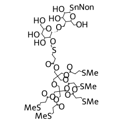 CCCCCCCCCS[C@@H]1OC(CO)[C@@H](COC[C@H]2OC(CO)[C@@H](O)C(O)C2OCSCCC(=O)OCC(COCC(COC(=O)CCSC)(COC(=O)CCSC)COC(=O)CCSC)(COC(=O)CCSC)COC(=O)CCSC)C(O)C1O